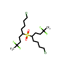 O=S(=O)(C(CCCCCl)CCC(F)(F)C(F)(F)F)C(CCCCCl)CCC(F)(F)C(F)(F)F